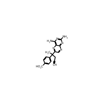 C#CCC(C)(c1ccc(C(=O)O)cc1)c1cnc2nc(N)nc(N)c2n1